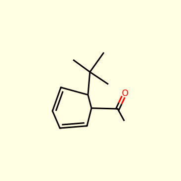 CC(=O)C1C=CC=CC1C(C)(C)C